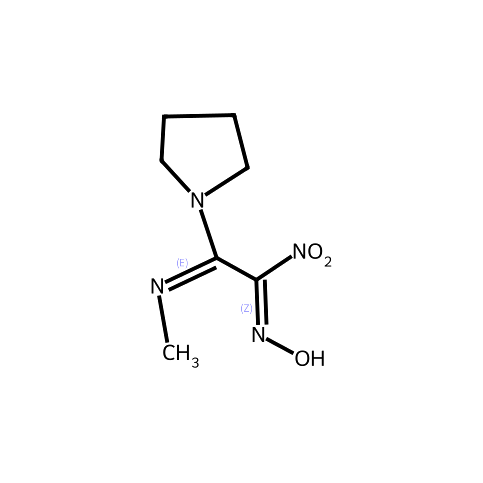 C/N=C(\C(=N\O)[N+](=O)[O-])N1CCCC1